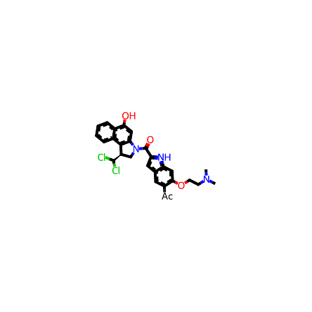 CC(=O)c1cc2cc(C(=O)N3C[C@@H](C(Cl)Cl)c4c3cc(O)c3ccccc43)[nH]c2cc1OCCN(C)C